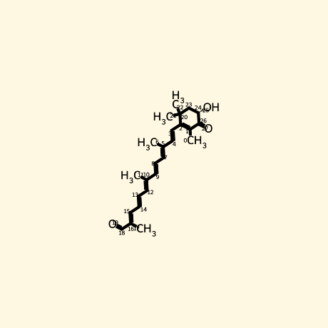 CC1=C(/C=C/C(C)=C/C=C/C(C)=C/C=C/C=C(\C)C=O)C(C)(C)C[C@H](O)C1=O